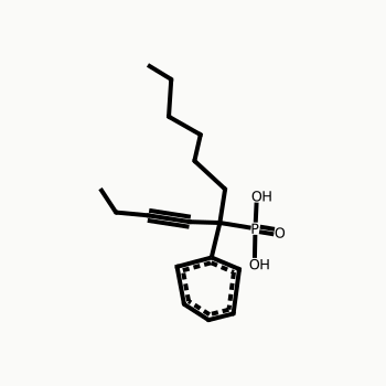 CCC#CC(CCCCCC)(c1ccccc1)P(=O)(O)O